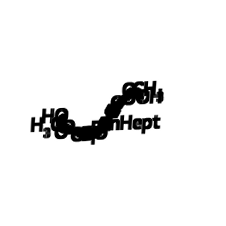 CCCCCCCc1cc(OC(F)(F)c2ccc(OCCOC(=O)C(C)CO)cc2)ccc1-c1ccc(OCCOC(=O)C(C)CO)cc1